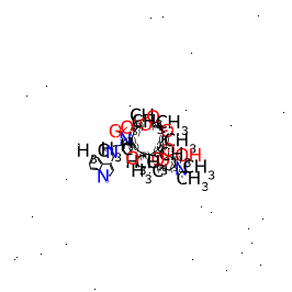 CC[C@H]1OC(=O)[C@H](C)C(=O)[C@H](C)[C@@H](OC2O[C@H](C)C[C@H](N(C)C)[C@H]2O)[C@@](C)(OC)C[C@@H](C)C(=O)[C@H](C)[C@H]2N(CCN(C)Cc3ccnc4ccccc34)C(=O)O[C@]12CC